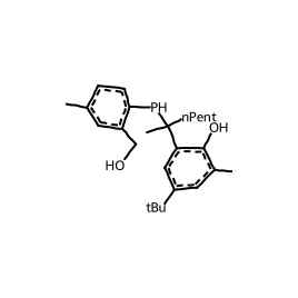 CCCCCC(C)(Pc1ccc(C)cc1CO)c1cc(C(C)(C)C)cc(C)c1O